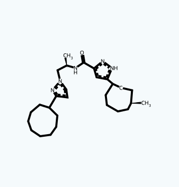 C[C@H]1CCCCC(c2cc(C(=O)N[C@H](C)Cn3ccc(C4CCCCCCCC4)n3)n[nH]2)CC1